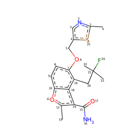 Cc1ncc(COc2ccc3oc(C)c(C(N)=O)c3c2CC(C)(C)F)s1